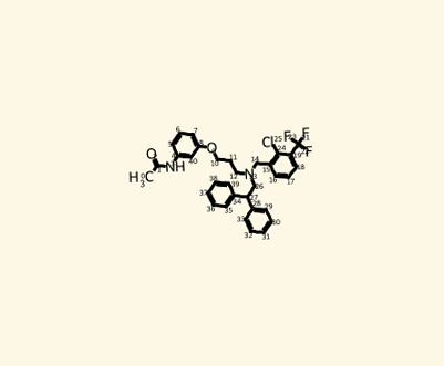 CC(=O)Nc1cccc(OCCCN(Cc2cccc(C(F)(F)F)c2Cl)CC(c2ccccc2)c2ccccc2)c1